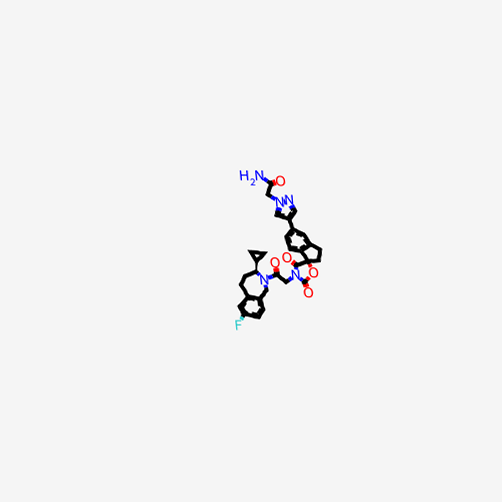 NC(=O)Cn1cc(-c2ccc3c(c2)CCC32OC(=O)N(CC(=O)N3Cc4ccc(F)cc4CC[C@H]3C3CC3)C2=O)cn1